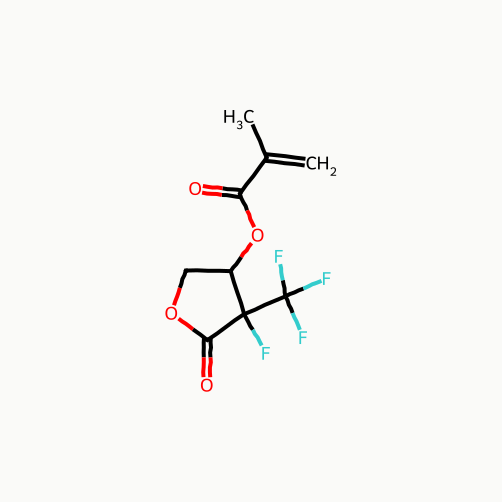 C=C(C)C(=O)OC1COC(=O)C1(F)C(F)(F)F